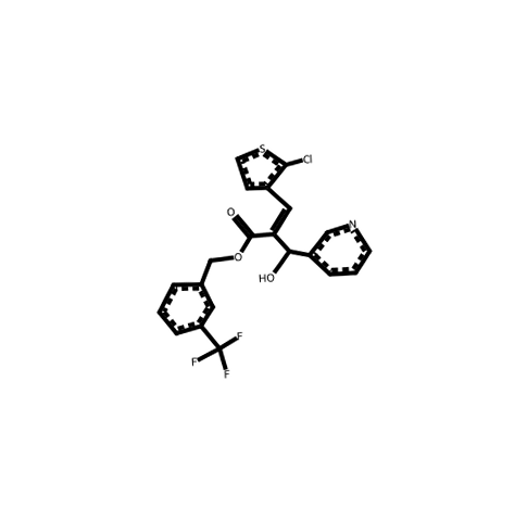 O=C(OCc1cccc(C(F)(F)F)c1)/C(=C\c1ccsc1Cl)C(O)c1cccnc1